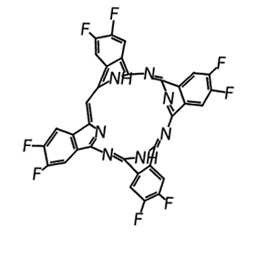 Fc1cc2c(cc1F)-c1nc-2cc2[nH]c(nc3nc(nc4[nH]c(n1)c1cc(F)c(F)cc41)-c1cc(F)c(F)cc1-3)c1cc(F)c(F)cc21